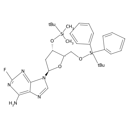 CC(C)(C)[Si](C)(C)O[C@H]1C[C@H](n2cnc3c(N)nc(F)nc32)O[C]1CO[Si](c1ccccc1)(c1ccccc1)C(C)(C)C